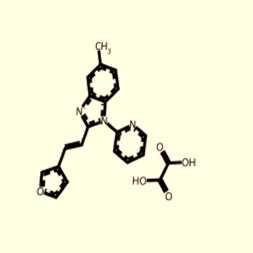 Cc1ccc2c(c1)nc(C=Cc1ccoc1)n2-c1ccccn1.O=C(O)C(=O)O